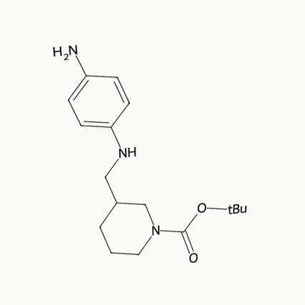 CC(C)(C)OC(=O)N1CCCC(CNc2ccc(N)cc2)C1